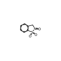 O=[N+]1Cc2ccccc2S1(=O)=O